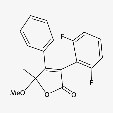 COC1(C)OC(=O)C(c2c(F)cccc2F)=C1c1ccccc1